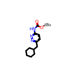 CC(C)(C)OC(=O)Nc1ccc(CC2CCCCC2)nn1